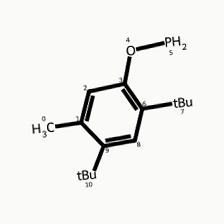 Cc1cc(OP)c(C(C)(C)C)cc1C(C)(C)C